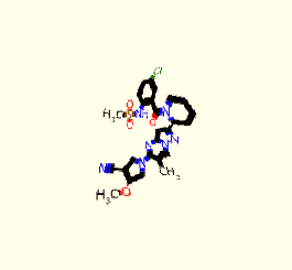 CO[C@H]1CN(c2nc3cc([C@@H]4CCCCN4C(=O)c4cc(Cl)ccc4NS(C)(=O)=O)nn3cc2C)C[C@@H]1C#N